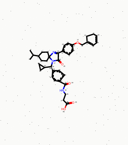 CC(C)C1CCC2(CC1)N=C(c1ccc(OCC3=CC=CCC3)cc1)C(=O)N2[C@@H](c1ccc(C(=O)NCCC(=O)O)cc1)C1CC1